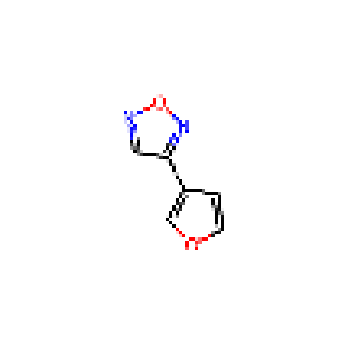 [c]1occc1-c1cnon1